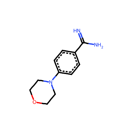 N=C(N)c1ccc(N2CCOCC2)cc1